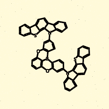 c1cc2c3c(c1)Oc1cc(-n4c5ccccc5c5ccc6c7ccccc7sc6c54)ccc1B3c1ccc(-n3c4ccccc4c4ccc5c6ccccc6sc5c43)cc1O2